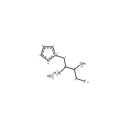 Cl.NC(Cn1cccn1)C(O)CF